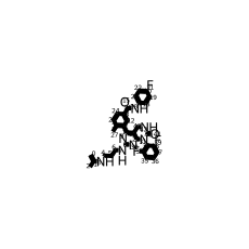 C=C(C)NCCCNc1nc(-c2cc(C(=O)Nc3ccc(F)cc3)ccc2C)c2c(n1)N(c1c(F)cccc1F)C(=O)NC2